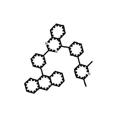 Cc1ccc(-c2cccc(-c3nc(-c4cccc(-c5c6ccccc6cc6ccccc56)c4)nc4ccccc34)c2)c(C)n1